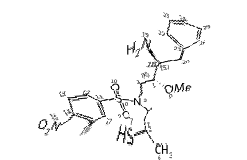 CO[C@H](CN(CC(C)S)S(=O)(=O)c1ccc([N+](=O)[O-])cc1)[C@@H](N)Cc1ccccc1